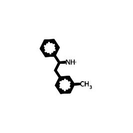 Cc1cccc(CC([NH])c2ccccc2)c1